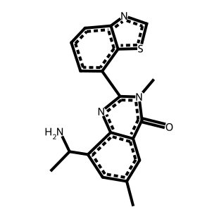 Cc1cc(C(C)N)c2nc(-c3cccc4ncsc34)n(C)c(=O)c2c1